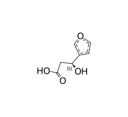 O=C(O)C[C@H](O)c1ccoc1